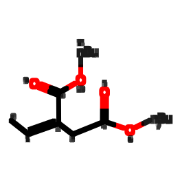 CC=C(CC(=O)OCCCC)C(=O)OCCCC